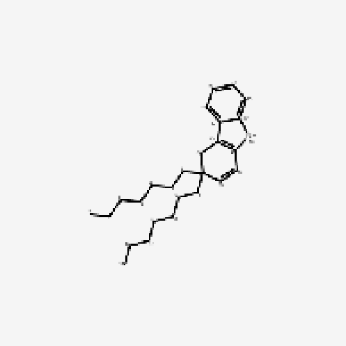 CCCCCCCC1(CCCCCCC)C=Cc2[nH]c3ccccc3c2C1